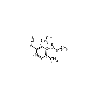 Cc1cnc(CCl)c(C)c1OCC(F)(F)F.Cl